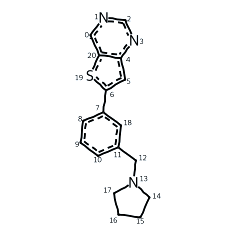 [c]1ncnc2cc(-c3cccc(CN4CCCC4)c3)sc12